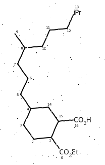 CCOC(=O)C1CCC(CCCC(C)CCCC(C)C)CC1C(=O)O